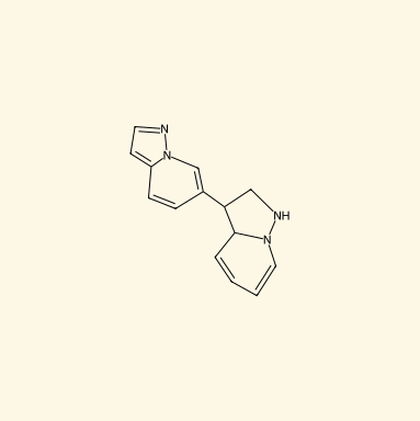 C1=CC2C(c3ccc4ccnn4c3)CNN2C=C1